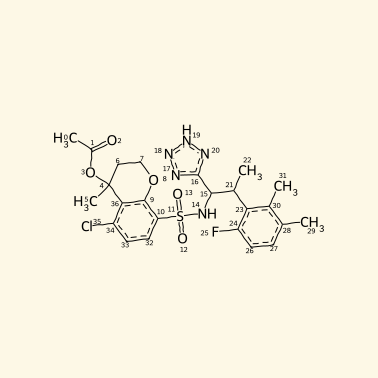 CC(=O)OC1(C)CCOc2c(S(=O)(=O)NC(c3nn[nH]n3)C(C)c3c(F)ccc(C)c3C)ccc(Cl)c21